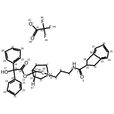 O=C(NCCC[N+]12CCC(CC1)[C@@H](OC(=O)C(O)(c1ccccc1)c1ccccc1)C2)C1Cc2ccccc2C1.O=C([O-])C(F)(F)F